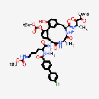 COC(=O)C(=O)[C@H](C)NC(=O)[C@@H]1Cc2ccc(O)c(c2)-c2cc(ccc2OC(=O)OC(C)(C)C)[C@H](N(C)C(=O)[C@H](CCCCNC(=O)OC(C)(C)C)NC(=O)c2ccc(-c3ccc(Cl)cc3)cc2)C(=O)N[C@@H](C)C(=O)N1